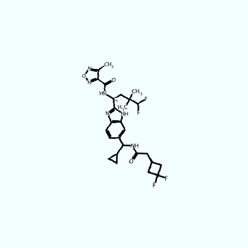 Cc1nonc1C(=O)N[C@@H](CC(C)(C)C(F)F)c1nc2ccc(C(NC(=O)CC3CC(F)(F)C3)C3CC3)cc2[nH]1